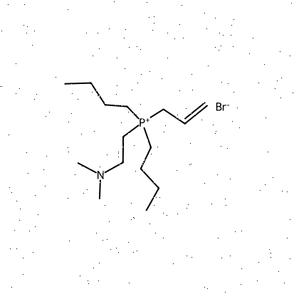 C=CC[P+](CCCC)(CCCC)CCN(C)C.[Br-]